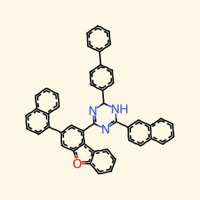 c1ccc(-c2ccc(C3N=C(c4cc(-c5cccc6ccccc56)cc5oc6ccccc6c45)N=C(c4ccc5ccccc5c4)N3)cc2)cc1